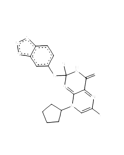 CC1=CN(C2CCCC2)C2=NC(N)(Nc3ccc4[nH]nnc4c3)NC(=O)C2=N1